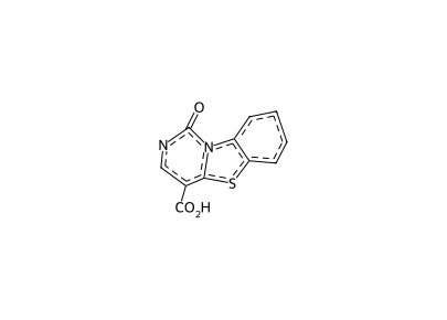 O=C(O)c1cnc(=O)n2c1sc1ccccc12